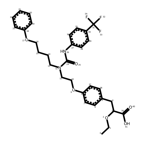 CCOC(Cc1ccc(OCCN(CCCCOc2ccccc2)C(=O)Nc2ccc(C(F)(F)F)cc2)cc1)C(=O)O